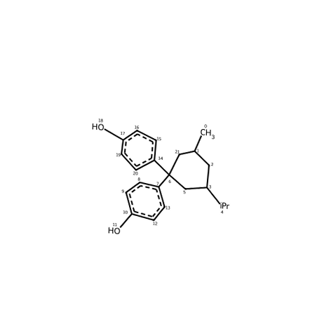 CC1CC(C(C)C)CC(c2ccc(O)cc2)(c2ccc(O)cc2)C1